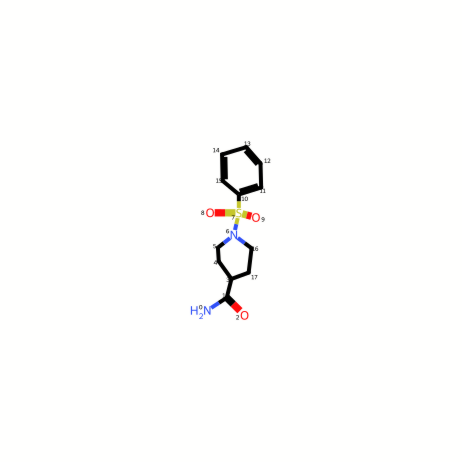 NC(=O)C1CCN(S(=O)(=O)c2ccccc2)CC1